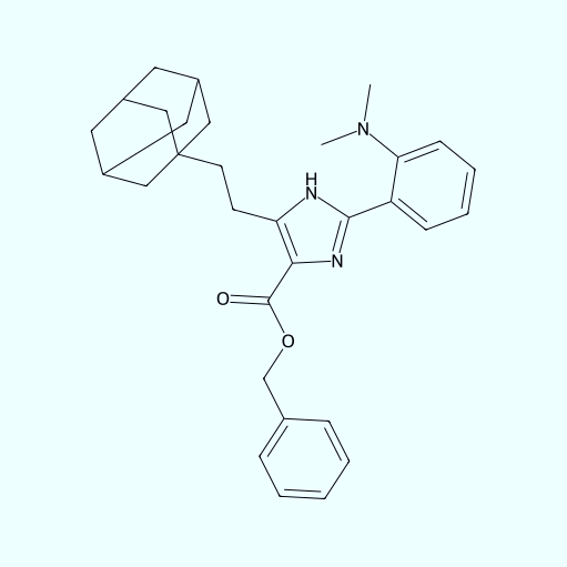 CN(C)c1ccccc1-c1nc(C(=O)OCc2ccccc2)c(CCC23CC4CC(CC(C4)C2)C3)[nH]1